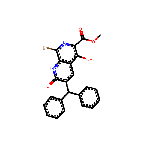 COC(=O)c1nc(Br)c2[nH]c(=O)c(C(c3ccccc3)c3ccccc3)cc2c1O